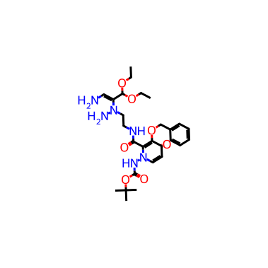 CCOC(OCC)/C(=C/N)N(N)CCNC(=O)c1c(OCc2ccccc2)c(=O)ccn1NC(=O)OC(C)(C)C